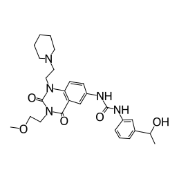 COCCn1c(=O)c2cc(NC(=O)Nc3cccc(C(C)O)c3)ccc2n(CCN2CCCCC2)c1=O